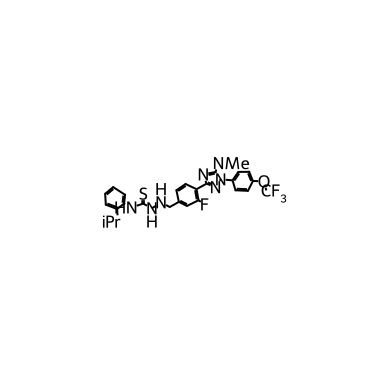 CNc1nc(-c2ccc(CNNC(=S)Nc3ccccc3C(C)C)cc2F)nn1-c1ccc(OC(F)(F)F)cc1